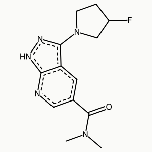 CN(C)C(=O)c1cnc2[nH]nc(N3CCC(F)C3)c2c1